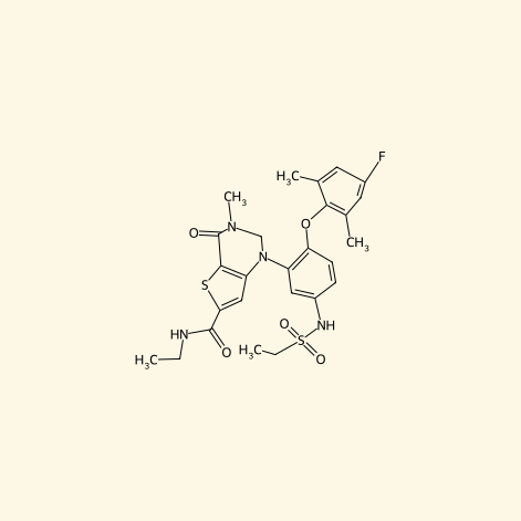 CCNC(=O)c1cc2c(s1)C(=O)N(C)CN2c1cc(NS(=O)(=O)CC)ccc1Oc1c(C)cc(F)cc1C